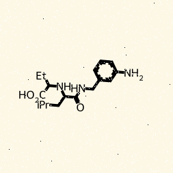 CCC(NC(CC(C)C)C(=O)NCc1cccc(N)c1)C(=O)O